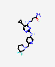 NC(=O)CCNc1nc(Nc2ccc(CN3CCCC(F)(F)C3)nc2)ncc1C1CC1